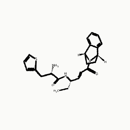 CC[C@@H](/C=C/C(=O)N1[C@@H]2CC[C@H]1c1ccccc12)NC(=O)[C@@H](N)Cc1cccs1